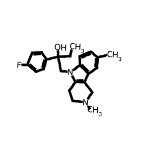 CCC(O)(Cn1c2c(c3cc(C)ccc31)CN(C)CC2)c1ccc(F)cc1